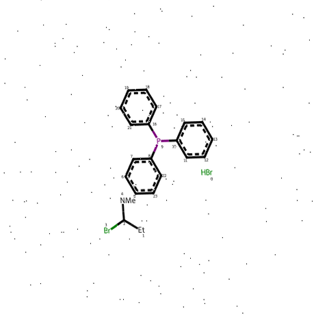 Br.CCC(Br)NC.c1ccc(P(c2ccccc2)c2ccccc2)cc1